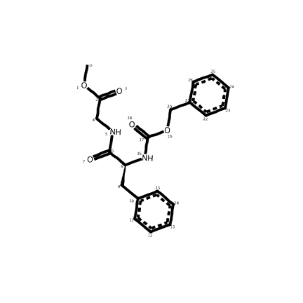 COC(=O)CNC(=O)[C@H](Cc1ccccc1)NC(=O)OCc1ccccc1